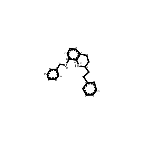 c1ccc(CCC2CCc3cccc(OCc4ccccc4)c3N2)cc1